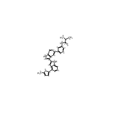 Cc1ccc(-c2cncc3[nH]c(-c4n[nH]c5cnc(-c6cncc(NC(=O)C(C)C)c6)cc45)cc23)s1